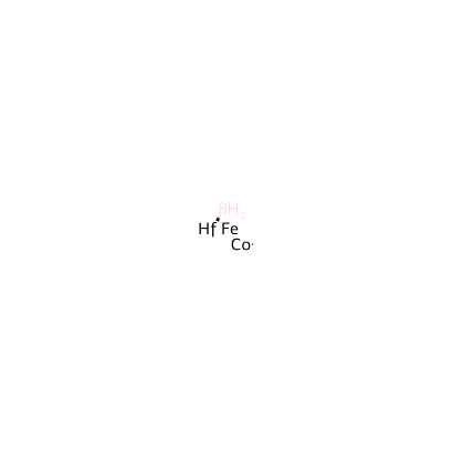 [BH2][Hf].[Co].[Fe]